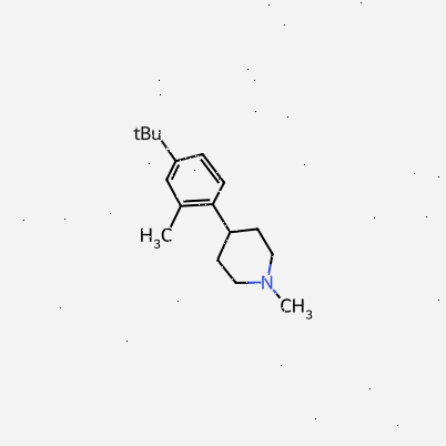 Cc1cc(C(C)(C)C)ccc1C1CCN(C)CC1